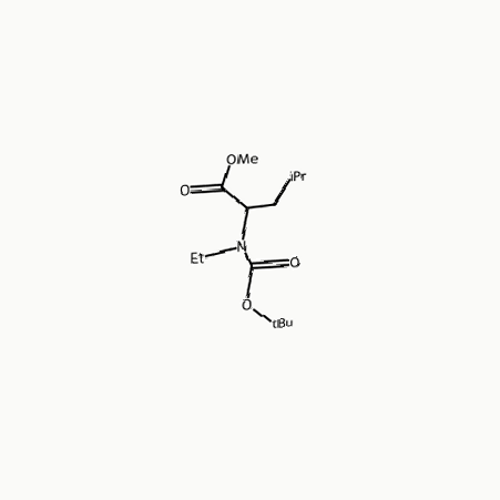 CCN(C(=O)OC(C)(C)C)C(CC(C)C)C(=O)OC